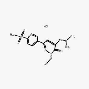 CC(C)Cn1nc(-c2ccc(S(C)(=O)=O)cc2)cc(CN(C)C)c1=O.Cl